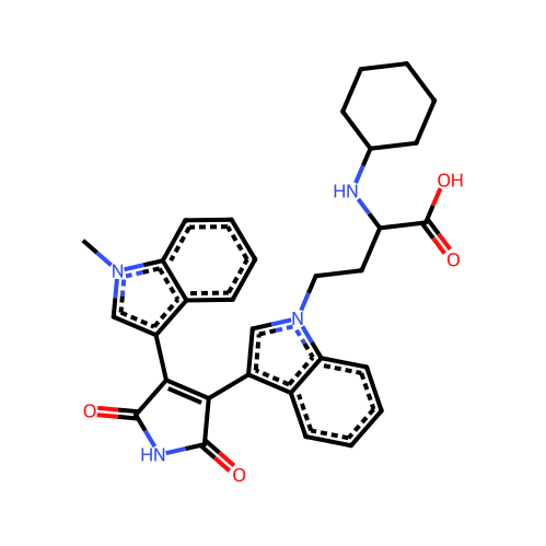 Cn1cc(C2=C(c3cn(CCC(NC4CCCCC4)C(=O)O)c4ccccc34)C(=O)NC2=O)c2ccccc21